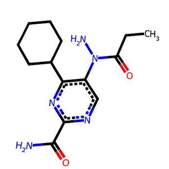 CCC(=O)N(N)c1cnc(C(N)=O)nc1C1CCCCC1